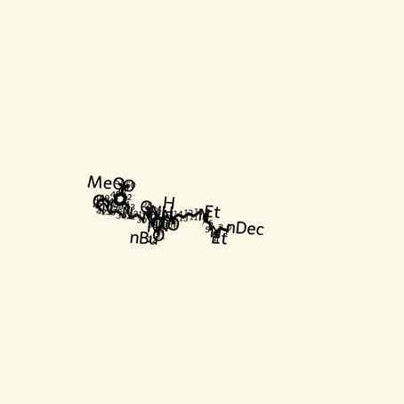 CCCCCCCCCCCCN(CC)CCCN(CC)CCCCCC(=O)Nc1nc(OCCCC)nc2c1[nH]c(=O)n2CCCN(CCCN1CCOCC1)Cc1cccc(C(=O)OC)c1